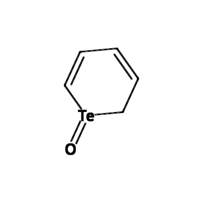 O=[Te]1C=CC=CC1